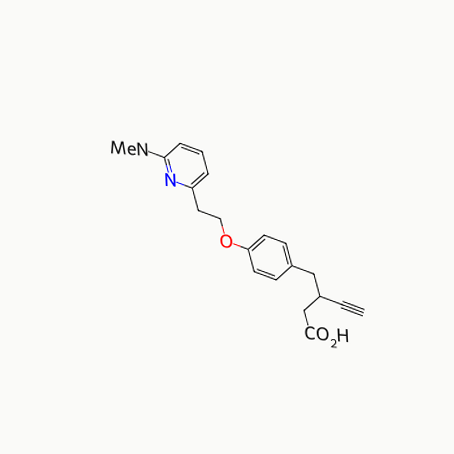 C#CC(CC(=O)O)Cc1ccc(OCCc2cccc(NC)n2)cc1